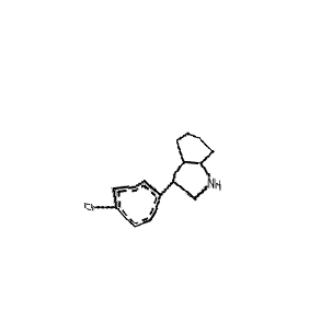 Clc1ccc(C2CNC3CCCCC32)cc1